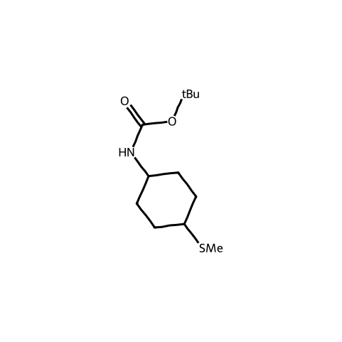 CSC1CCC(NC(=O)OC(C)(C)C)CC1